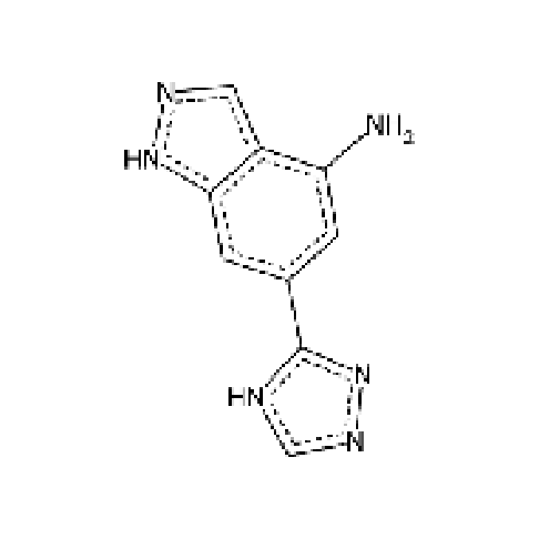 Nc1cc(-c2nnc[nH]2)cc2[nH]ncc12